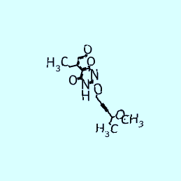 CCc1cc(=O)oc2nc(OCC#CC(CC)OC)[nH]c(=O)c12